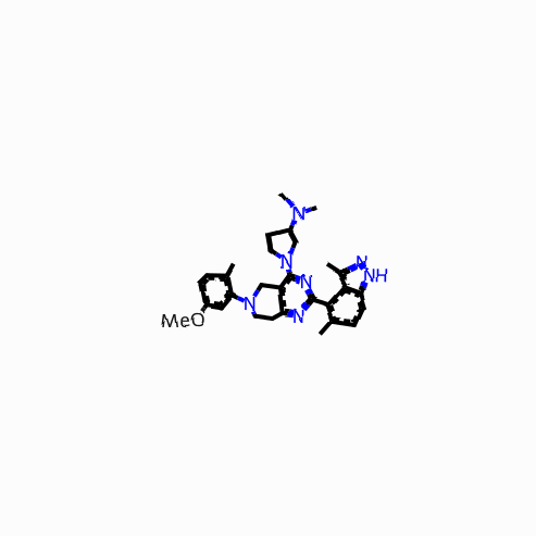 COc1ccc(C)c(N2CCc3nc(-c4c(C)ccc5[nH]nc(C)c45)nc(N4CCC(N(C)C)C4)c3C2)c1